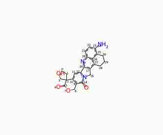 CCC1(CO)C(=O)OCc2c1cc1n(c2=O)Cc2c-1nc1ccc(N)c3c1c2CCC3